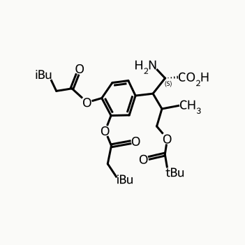 CCC(C)CC(=O)Oc1ccc(C(C(C)COC(=O)C(C)(C)C)[C@H](N)C(=O)O)cc1OC(=O)CC(C)CC